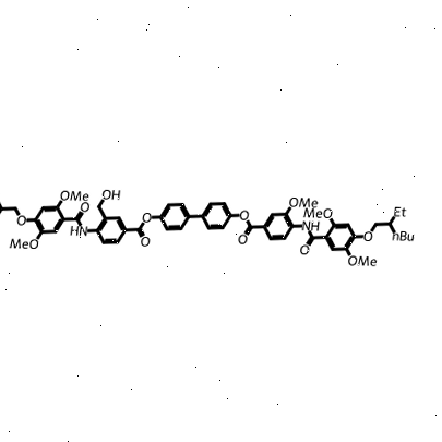 CCCCC(CC)COc1cc(OC)c(C(=O)Nc2ccc(C(=O)Oc3ccc(-c4ccc(OC(=O)c5ccc(NC(=O)c6cc(OC)c(OCC(CC)CCCC)cc6OC)c(OC)c5)cc4)cc3)cc2CO)cc1OC